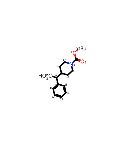 CC(C)(C)OC(=O)N1CCC(C(C(=O)O)c2ccccc2)CC1